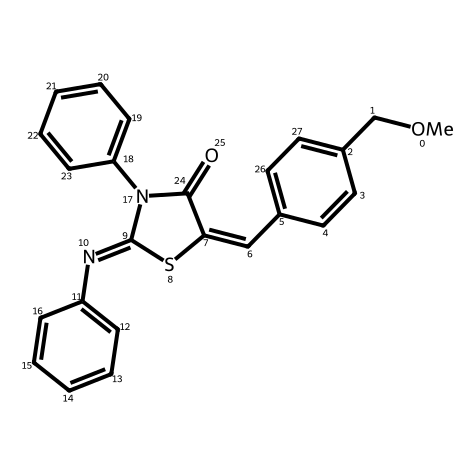 COCc1ccc(C=C2SC(=Nc3ccccc3)N(c3ccccc3)C2=O)cc1